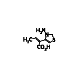 C/C=C(\C(=O)O)C1=CSCN1N